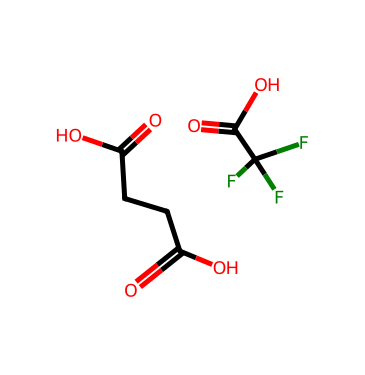 O=C(O)C(F)(F)F.O=C(O)CCC(=O)O